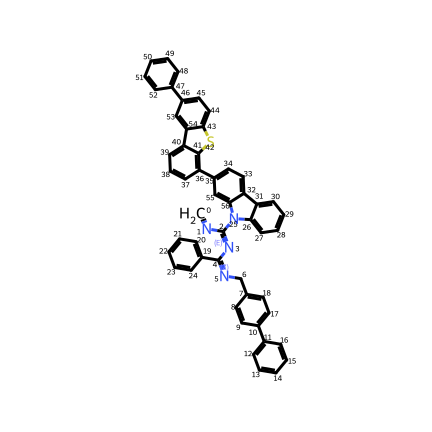 C=N/C(=N\C(=N/Cc1ccc(-c2ccccc2)cc1)c1ccccc1)n1c2ccccc2c2ccc(-c3cccc4c3sc3ccc(-c5ccccc5)cc34)cc21